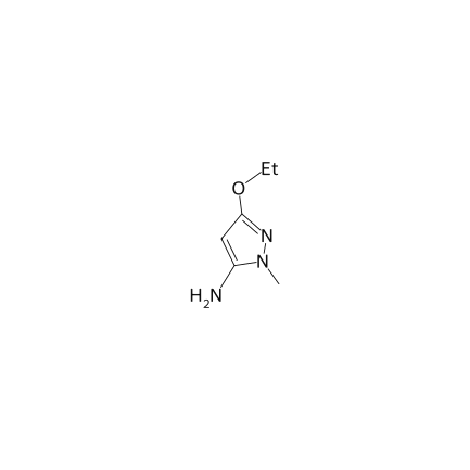 CCOc1cc(N)n(C)n1